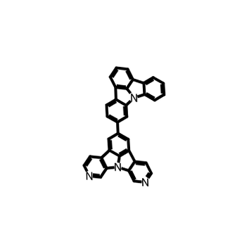 c1ccc2c(c1)c1cccc3c4ccc(-c5cc6c7ccncc7n7c8cnccc8c(c5)c67)cc4n2c13